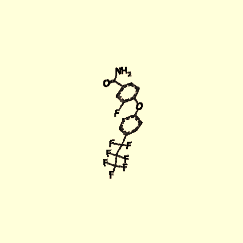 NC(=O)c1ccc(Oc2ccc(C(F)(F)C(F)(F)C(F)(F)F)cc2)c(F)c1